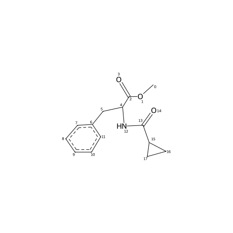 COC(=O)C(Cc1ccccc1)NC(=O)C1CC1